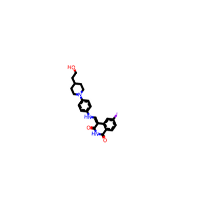 O=C1NC(=O)c2ccc(I)cc2/C1=C/Nc1ccc(N2CCC(CCO)CC2)cc1